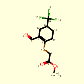 COC(=O)CSC1=C(C=O)CC(C(F)(F)F)CC1